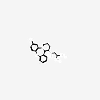 CC(C)CN[C@@H]1CCCN2c3cc(Cl)ccc3Oc3ccccc3[C@@H]12